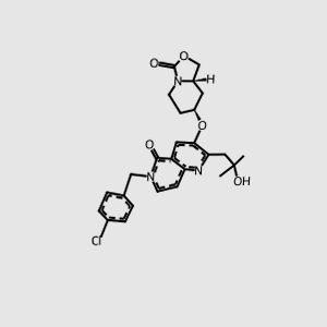 CC(C)(O)Cc1nc2ccn(Cc3ccc(Cl)cc3)c(=O)c2cc1O[C@H]1CCN2C(=O)OC[C@@H]2C1